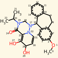 COc1ccc2c(c1)CCc1ccccc1C2N1CN(C(C)C)C(=O)C2=C(O)C(O)C=CN21